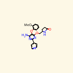 COc1ccccc1Oc1c(N)nc(-c2ccncc2)nc1OCC1CCC(=O)N1